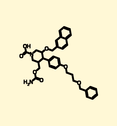 NC(=O)OCC1CN(C(=O)O)CC(OCc2ccc3ccccc3c2)C1c1ccc(OCCCOCc2ccccc2)cc1